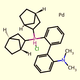 CN(C)c1ccccc1-c1ccccc1[PH](Cl)(C1C[C@@H]2CC[C@@H]1C2)C1C[C@H]2CC[C@H]1C2.[Pd]